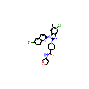 Cc1cc2c(cc1Cl)nc(N1CCC(C(=O)NC3CCOC3)CC1)n2-c1ccc2cc(Cl)ccc2n1